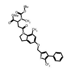 COC(=O)C(CC(=O)N1CCc2cc(OCc3cc(-c4ccccc4)c(C(F)(F)F)s3)cc(C)c21)N(C)C(=O)OC(C)(C)C